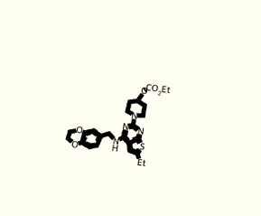 CCOC(=O)OC1CCN(c2nc(NCc3ccc4c(c3)OCCO4)c3cc(CC)sc3n2)CC1